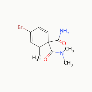 CC1C=C(Br)C=CC1(C(N)=O)C(=O)N(C)C